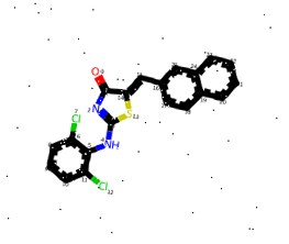 O=C1N=C(Nc2c(Cl)cccc2Cl)S/C1=C\c1ccc2ccccc2c1